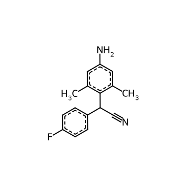 Cc1cc(N)cc(C)c1C(C#N)c1ccc(F)cc1